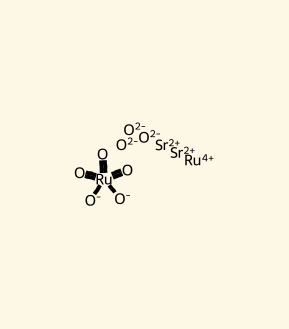 [O-2].[O-2].[O-2].[O]=[Ru](=[O])(=[O])([O-])[O-].[Ru+4].[Sr+2].[Sr+2]